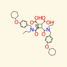 CCCN(Cc1ccc(OC2CCCCC2)cc1)C(=O)C1C(C(=O)O)[C@H](C(=O)O)[C@@H]1C(=O)N(CCC)Cc1ccc(OC2CCCCC2)cc1